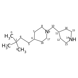 CC(C)(C)CCC1CCN(CC2CCNCC2)CC1